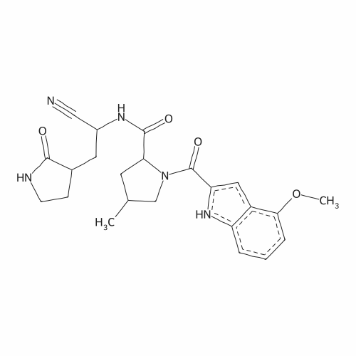 COc1cccc2[nH]c(C(=O)N3CC(C)CC3C(=O)NC(C#N)CC3CCNC3=O)cc12